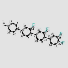 Cc1ccc(-c2ccc(-c3ccc(-c4ccc(F)c(F)c4)c(F)c3)c(F)c2)cc1